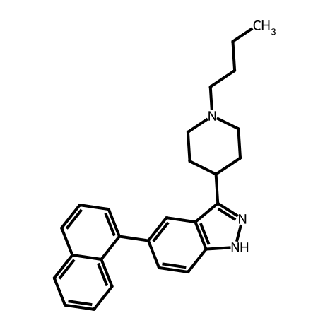 CCCCN1CCC(c2n[nH]c3ccc(-c4cccc5ccccc45)cc23)CC1